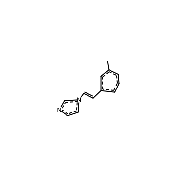 Cc1cccc(C=Cn2ccnc2)c1